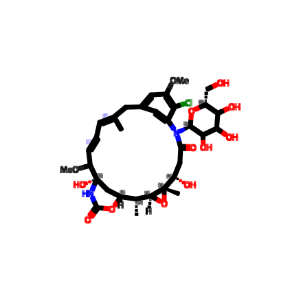 COc1cc2cc(c1Cl)N([C@H]1O[C@H](CO)C(O)C(O)C1O)C(=O)C[C@H](O)[C@]1(C)O[C@H]1[C@H](C)[C@@H]1C[C@@](O)(NC(=O)O1)C(OC)/C=C/C=C(\C)C2